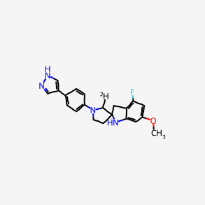 [2H]C1N(c2ccc(-c3cn[nH]c3)cc2)CCC12Cc1c(F)cc(OC)cc1N2